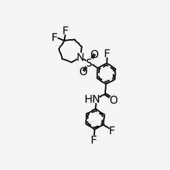 O=C(Nc1ccc(F)c(F)c1)c1ccc(F)c(S(=O)(=O)N2CCCC(F)(F)CC2)c1